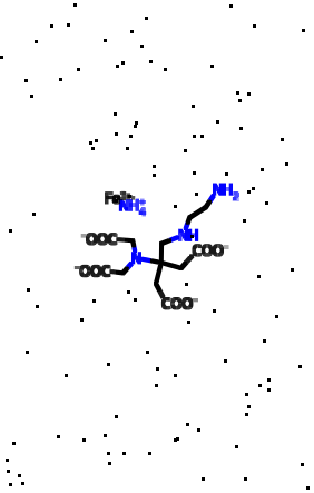 NCCNCC(CC(=O)[O-])(CC(=O)[O-])N(CC(=O)[O-])CC(=O)[O-].[Fe+3].[NH4+]